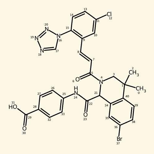 CC1(C)CN(C(=O)C=Cc2cc(Cl)ccc2-n2cnnn2)C(C(=O)Nc2ccc(C(=O)O)cc2)c2cc(Br)ccc21